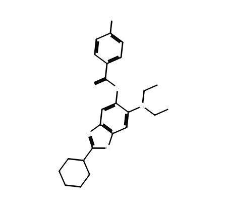 CCN(CC)c1cc2[nH]c(C3CCCCC3)nc2cc1NC(=O)c1ccc(Br)cc1